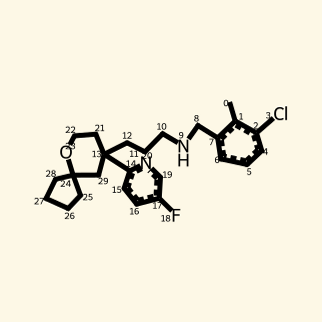 Cc1c(Cl)cccc1CNCCCC1(c2ccc(F)cn2)CCOC2(CCCC2)C1